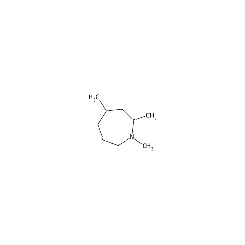 CC1CCCN(C)C(C)C1